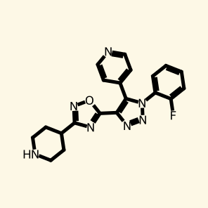 Fc1ccccc1-n1nnc(-c2nc(C3CCNCC3)no2)c1-c1ccncc1